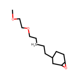 COCCOCC[SiH2]CCC1CCC2OC2C1